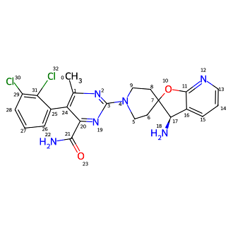 Cc1nc(N2CCC3(CC2)Oc2ncccc2[C@H]3N)nc(C(N)=O)c1-c1cccc(Cl)c1Cl